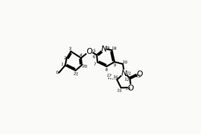 Cc1ccc(Oc2ccc(CN3C(=O)OC[C@@H]3C)cn2)cc1